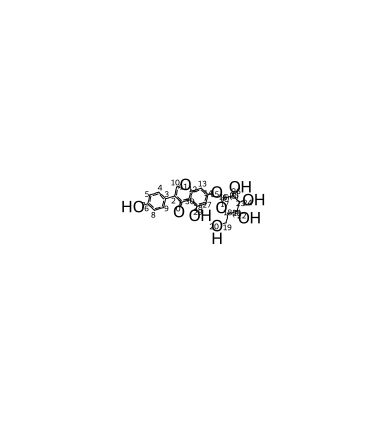 O=c1c(-c2ccc(O)cc2)coc2cc(O[C@@H]3OC(CO)[C@H](O)C(O)[C@@H]3O)cc(O)c12